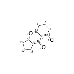 O=C1CCCC(Cl)=C1C(=O)C1CCCC1